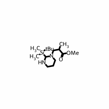 COC(=O)C(C)CN1CCCNC1[Si](C)(C)C(C)(C)C